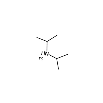 CC(C)NC(C)C.[P]